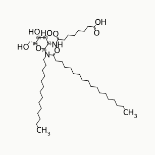 CCCCCCCCCCCCCCCCCC(=O)N(CCCCCCCCCCCCCC)[C@@H]1O[C@H](CO)[C@H](O)[C@H](O)[C@@H]1NC(=O)CCCCCCC(=O)O